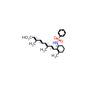 CC1=C(/C=C/C(C)=C/C=C/C(C)=C/C(=O)O)[C@@H](NS(=O)(=O)c2ccccc2)CCC1